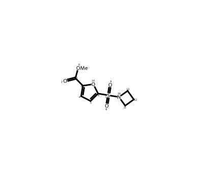 COC(=O)c1ccc(S(=O)(=O)N2CCC2)o1